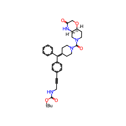 CC(C)(C)OC(=O)NCC#Cc1ccc(C(=C2CCN(C(=O)N3CC[C@@H]4OCC(=O)N[C@@H]4C3)CC2)c2ccccc2)cc1